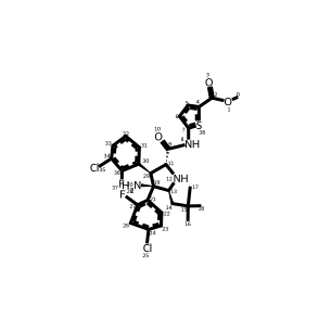 COC(=O)c1ccc(NC(=O)[C@@H]2N[C@@H](CC(C)(C)C)[C@](N)(c3ccc(Cl)cc3F)[C@H]2c2cccc(Cl)c2F)s1